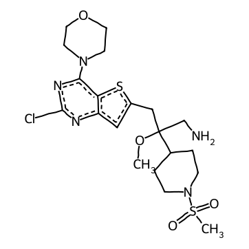 COC(CN)(Cc1cc2nc(Cl)nc(N3CCOCC3)c2s1)C1CCN(S(C)(=O)=O)CC1